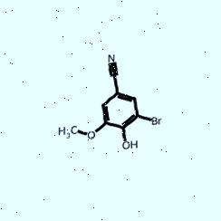 COc1cc(C#N)cc(Br)c1O